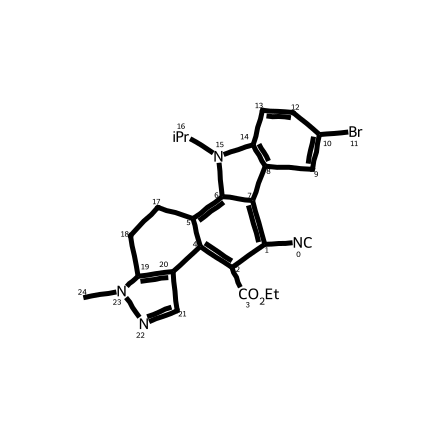 [C-]#[N+]c1c(C(=O)OCC)c2c(c3c1c1cc(Br)ccc1n3C(C)C)CCc1c-2cnn1C